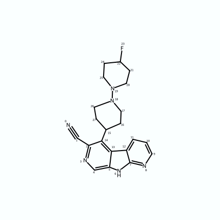 N#Cc1ncc2[nH]c3ncccc3c2c1C1CCN(N2CCC(F)CC2)CC1